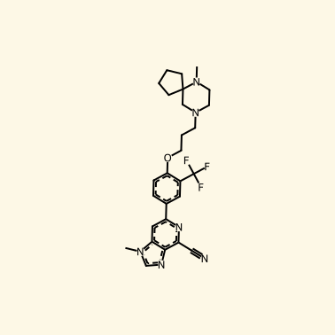 CN1CCN(CCCOc2ccc(-c3cc4c(ncn4C)c(C#N)n3)cc2C(F)(F)F)CC12CCCC2